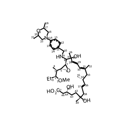 CC[C@H](OC)[C@@H](C)[C@H]1O[C@@H]1C(NCc1ccc(N2CC(C)OC(C)C2)cc1)C(C)(O)/C=C/C=C(\C)C[C@@H](C)/C=C/C[C@](C)(O)CC[C@@H](O)CC(=O)O